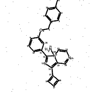 Cc1ccc(COc2cccc(C3=NC(C4=CC=C4)=C4C=NC=C[N+]34N)c2)cc1